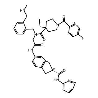 CCC1(C(=O)N(CC(=O)Nc2ccc3c(c2)C[C@H](C(=O)Nc2ccccn2)C3)Cc2ccccc2CNC)CCN(C(=O)c2ccc(F)cn2)CC1